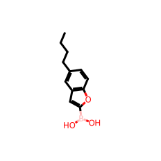 CCCCc1ccc2oc(B(O)O)cc2c1